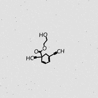 C#CC1=CC=CC(C#C)(C(=O)OCCO)C1